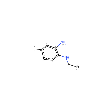 CC(C)CNc1ccc(C(F)(F)F)cc1N